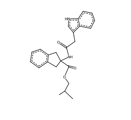 CC(C)COC(=O)C1(NC(=O)Cc2c[nH]c3ccccc23)Cc2ccccc2C1